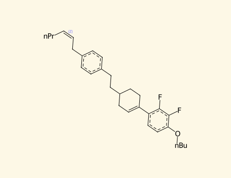 CCC/C=C\Cc1ccc(CCC2CC=C(c3ccc(OCCCC)c(F)c3F)CC2)cc1